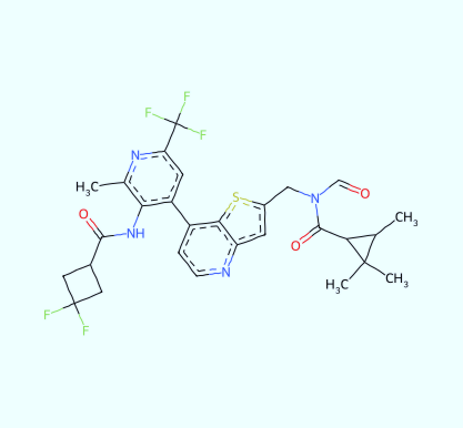 Cc1nc(C(F)(F)F)cc(-c2ccnc3cc(CN(C=O)C(=O)C4C(C)C4(C)C)sc23)c1NC(=O)C1CC(F)(F)C1